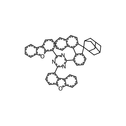 c1cc(-c2nc(-c3cccc4c3oc3ccccc34)nc(-c3cccc4oc5ccccc5c34)n2)c2c(c1)C1(c3ccc4ccccc4c3-2)C2CC3CC(C2)CC1C3